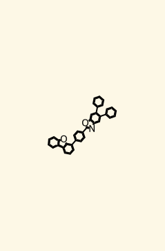 c1ccc(-c2cc3nc(-c4ccc(-c5cccc6c5oc5ccccc56)cc4)oc3cc2-c2ccccc2)cc1